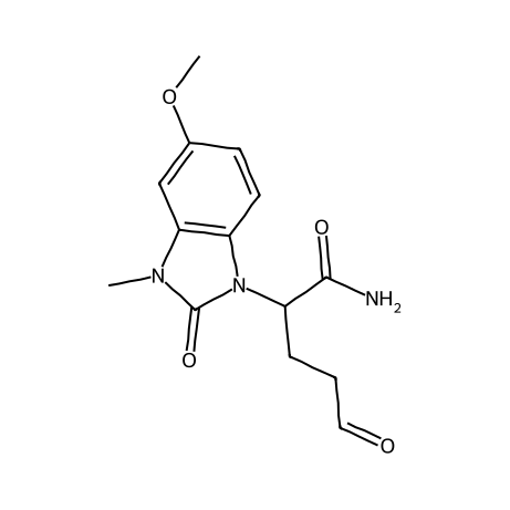 COc1ccc2c(c1)n(C)c(=O)n2C(CCC=O)C(N)=O